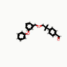 CC(C)(COCc1cccc(Oc2ccccc2)c1)c1ccc(C=O)cc1